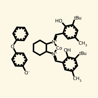 Cc1cc(C=[N+]2[Co][N+](=Cc3cc(C)cc(C(C)(C)C)c3O)C3CCCCC32)c(O)c(C(C)(C)C)c1.[O-]c1ccc(Oc2ccccc2)cc1